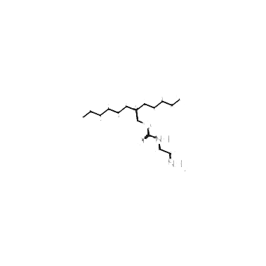 CCCCCCC(CCCCC)COC(=O)NCCN